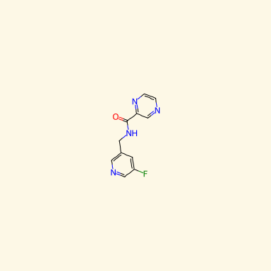 O=C(NCc1cncc(F)c1)c1cnccn1